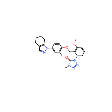 COc1cccc(-n2nnn(C)c2=O)c1COc1ccc(-n2ncc3c2CCCC3)cc1C